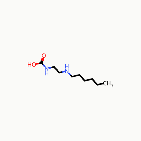 CCCCCCNCCNC(=O)O